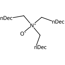 CCCCCCCCCCC[N+]([O-])(CCCCCCCCCCC)CCCCCCCCCCC